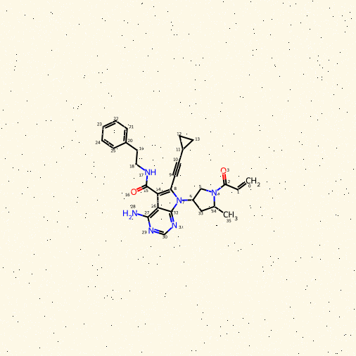 C=CC(=O)N1CC(n2c(C#CC3CC3)c(C(=O)NCCc3ccccc3)c3c(N)ncnc32)CC1C